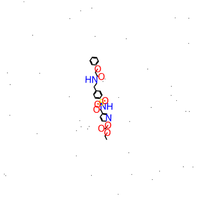 CCOC(=O)Oc1ccc(C(=O)NS(=O)(=O)c2ccc(CCNC(=O)COc3ccccc3)cc2)cn1